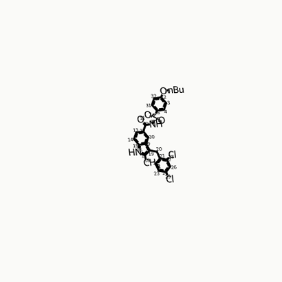 CCCCOc1ccc(S(=O)(=O)NC(=O)c2ccc3[nH]c(C)c(Cc4ccc(Cl)cc4Cl)c3c2)cc1